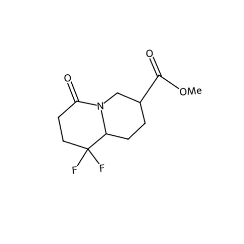 COC(=O)C1CCC2N(C1)C(=O)CCC2(F)F